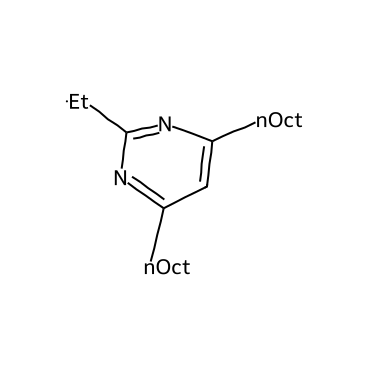 C[CH]c1nc(CCCCCCCC)cc(CCCCCCCC)n1